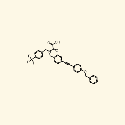 O=C(O)C(=O)N(Cc1ccc(C#Cc2ccc(OCc3ccccc3)cc2)cc1)Cc1ccc(C(F)(F)F)cc1